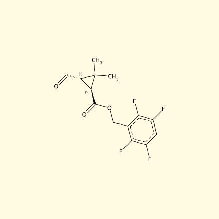 CC1(C)[C@@H](C=O)[C@@H]1C(=O)OCc1c(F)c(F)cc(F)c1F